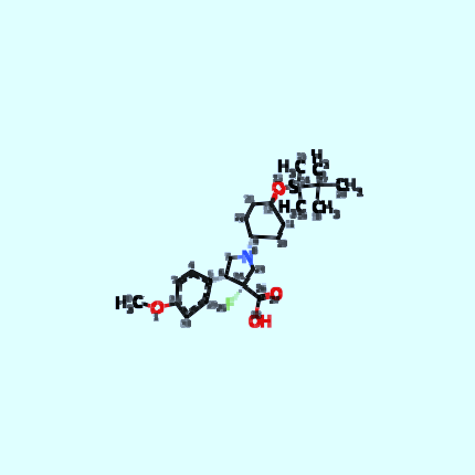 COc1ccc([C@@H]2CN([C@H]3CC[C@H](O[Si](C)(C)C(C)(C)C)CC3)C[C@@]2(F)C(=O)O)cc1